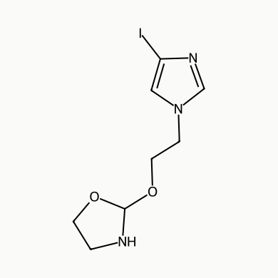 Ic1cn(CCOC2NCCO2)cn1